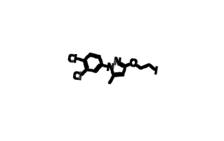 Cc1cc(OCCI)nn1-c1ccc(Cl)c(Cl)c1